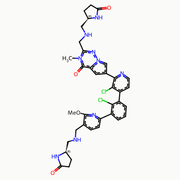 COc1nc(-c2cccc(-c3ccnc(-c4cc5c(=O)n(C)c(CNC[C@H]6CCC(=O)N6)nn5c4)c3Cl)c2Cl)ccc1CNC[C@H]1CCC(=O)N1